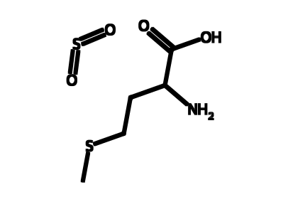 CSCCC(N)C(=O)O.O=S=O